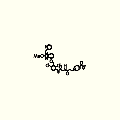 COc1nc2c(OCc3c(Cl)ccc(N(C)C(=O)CNC(=O)CCN4CCN(C(=O)N(C)C)CC4)c3Cl)cccc2n1Cc1ccccn1